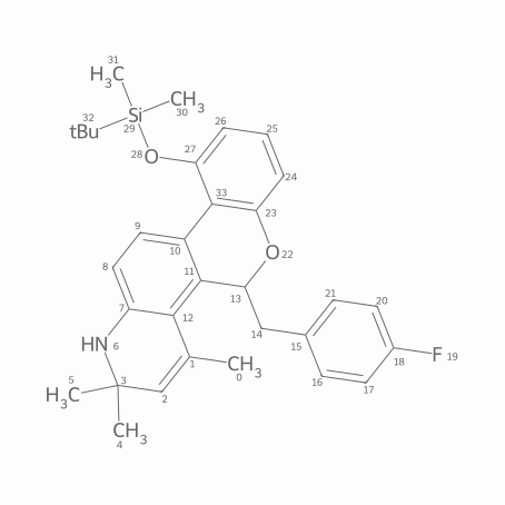 CC1=CC(C)(C)Nc2ccc3c(c21)C(Cc1ccc(F)cc1)Oc1cccc(O[Si](C)(C)C(C)(C)C)c1-3